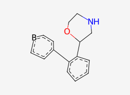 b1ccc(-c2ccccc2C2CNCCO2)cc1